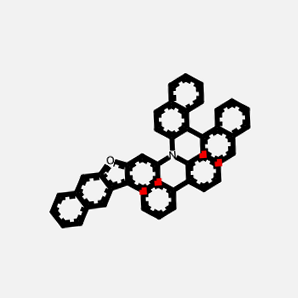 c1ccc(-c2ccccc2N(c2ccc3c(c2)oc2cc4ccccc4cc23)c2ccc3ccccc3c2-c2cccc3ccccc23)cc1